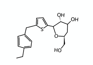 CCc1ccc(Cc2ccc(C3O[C@H](CO)CC(O)[C@H]3O)s2)cc1